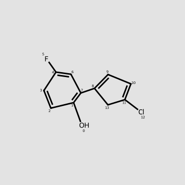 Oc1ccc(F)cc1C1=CC=C(Cl)C1